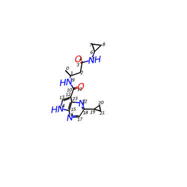 CC(CC(=O)NC1CC1)NC(=O)c1c[nH]c2ncc(C3CC3)nc12